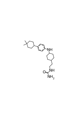 CC1(C)CCC(c2ccc(NC3CCC(CCNC(N)=O)CC3)cc2)CC1